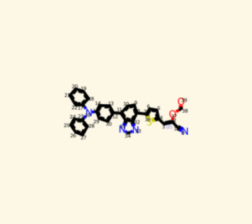 N#C/C(=C/c1ccc(-c2ccc(-c3ccc(N(c4ccccc4)c4ccccc4)cc3)c3c2=NCN=3)s1)OC=O